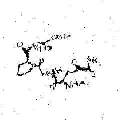 COC(=O)CNC(=O)C1CCCN1C(=O)CNC(=O)C(CCC(=O)C(N)=O)NC(C)=O